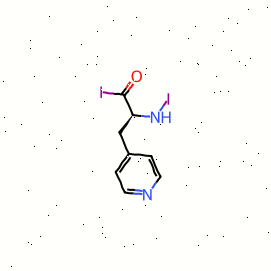 O=C(I)[C@H](Cc1ccncc1)NI